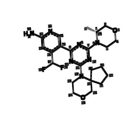 C[C@@H]1COCCN1c1nc(-c2cnc(N)cc2C(F)F)nc(N2CCOCC23CCCC3)n1